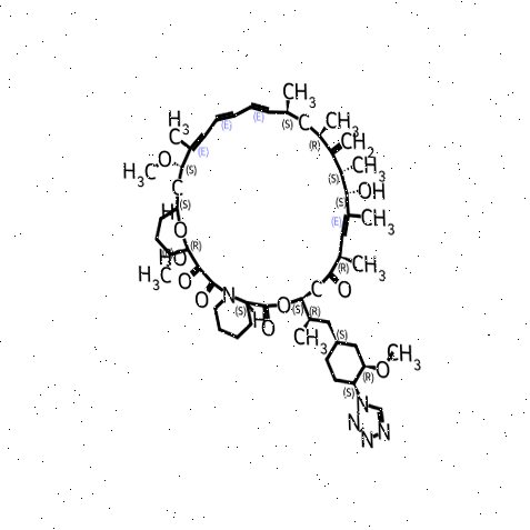 C=C1[C@H](C)C[C@H](C)/C=C/C=C/C=C(\C)[C@@H](OC)C[C@@H]2CC[C@@H](C)[C@@](O)(O2)C(=O)C(=O)N2CCCC[C@H]2C(=O)O[C@H]([C@H](C)C[C@@H]2CC[C@H](n3cnnn3)[C@H](OC)C2)CC(=O)[C@H](C)/C=C(\C)[C@@H](O)[C@H]1C